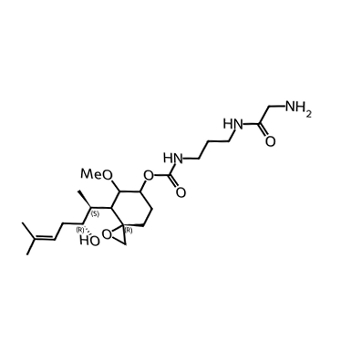 COC1C(OC(=O)NCCCNC(=O)CN)CC[C@]2(CO2)C1[C@H](C)[C@H](O)CC=C(C)C